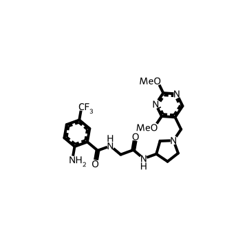 COc1ncc(CN2CCC(NC(=O)CNC(=O)c3cc(C(F)(F)F)ccc3N)C2)c(OC)n1